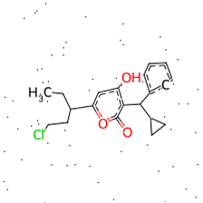 CCC(CCCl)c1cc(O)c(C(c2ccccc2)C2CC2)c(=O)o1